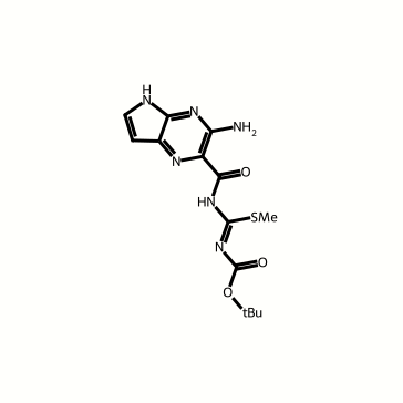 CS/C(=N\C(=O)OC(C)(C)C)NC(=O)c1nc2cc[nH]c2nc1N